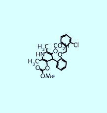 COC(=O)OC1=C(C)NC(C)=C(OC(=O)O)C1c1ccccc1OCc1ccccc1Cl